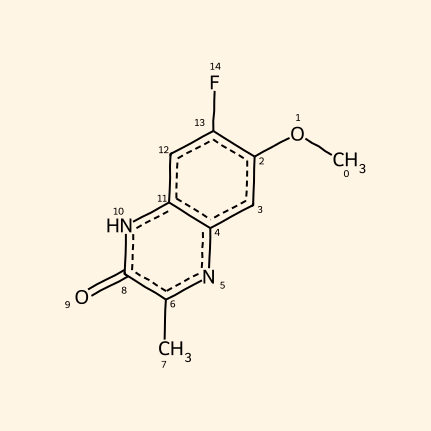 COc1cc2nc(C)c(=O)[nH]c2cc1F